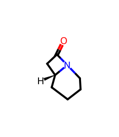 O=C1C[C@H]2CCCCN12